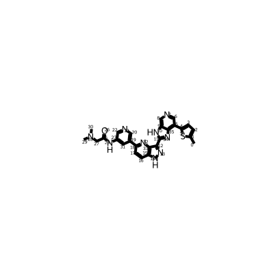 Cc1ccc(-c2cncc3[nH]c(-c4n[nH]c5ccc(-c6cncc(NC(=O)CN(C)C)c6)nc45)nc23)s1